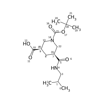 CC(C)CNC(=O)[C@H]1C[C@@H](C(=O)O)CN(C(=O)OC(C)(C)C)C1